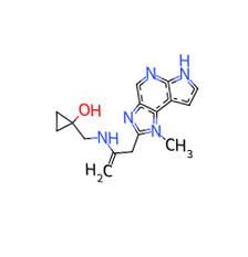 C=C(Cc1nc2cnc3[nH]ccc3c2n1C)NCC1(O)CC1